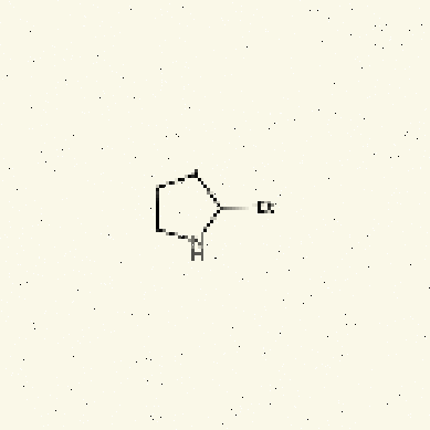 CCC1[CH]CCN1